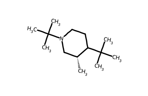 C[C@@H]1CN(C(C)(C)C)CCC1C(C)(C)C